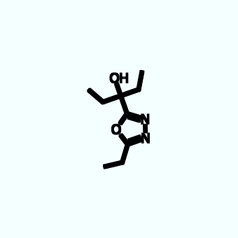 CCc1nnc(C(O)(CC)CC)o1